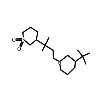 CC(C)(C)C1CCCN(CCC(C)(C)C2CCCS(=O)(=O)C2)C1